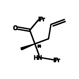 C=CC[C@](C)(NC(C)C)C(=O)C(C)C